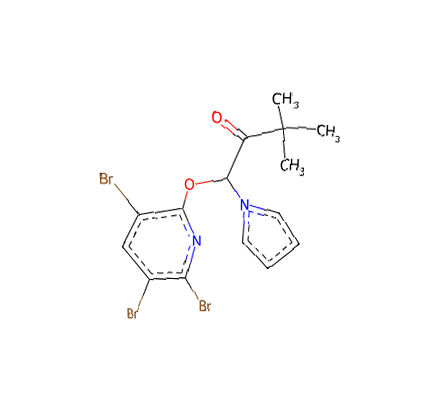 CC(C)(C)C(=O)C(Oc1nc(Br)c(Br)cc1Br)n1cccc1